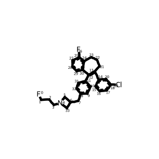 FCCCN1CC(Cc2ccc(C3=C(c4cccc(Cl)c4)CCCc4c(F)cccc43)cc2)C1